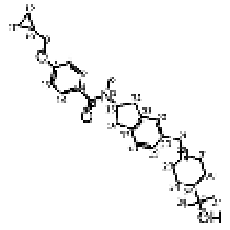 CN(C(=O)c1ccc(OCC2CC2)cc1)[C@@H]1Cc2ccc(CN3CCC(C(C)(C)O)CC3)cc2C1